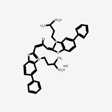 CCC(=Cc1oc2ccc(-c3ccccc3)cc2[n+]1CCC(C)S(=O)(=O)O)C=C1Oc2ccc(-c3ccccc3)cc2N1CCC(C)S(=O)(=O)O.[OH-]